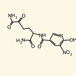 NC(=O)C(=O)CCC(NC(=O)c1cnc(O)c([N+](=O)[O-])c1)C(N)=O